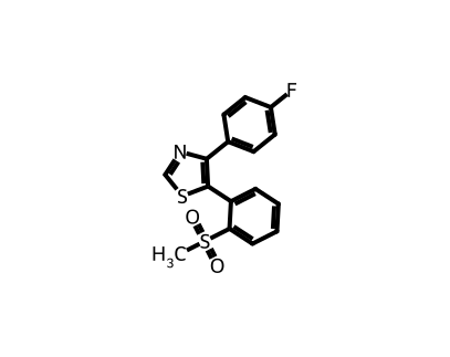 CS(=O)(=O)c1ccccc1-c1scnc1-c1ccc(F)cc1